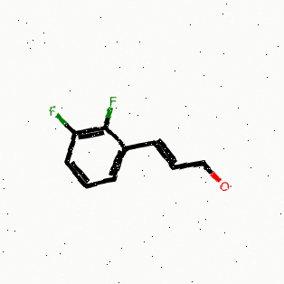 [O]CC=Cc1cccc(F)c1F